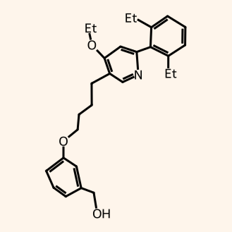 CCOc1cc(-c2c(CC)cccc2CC)ncc1CCCCOc1cccc(CO)c1